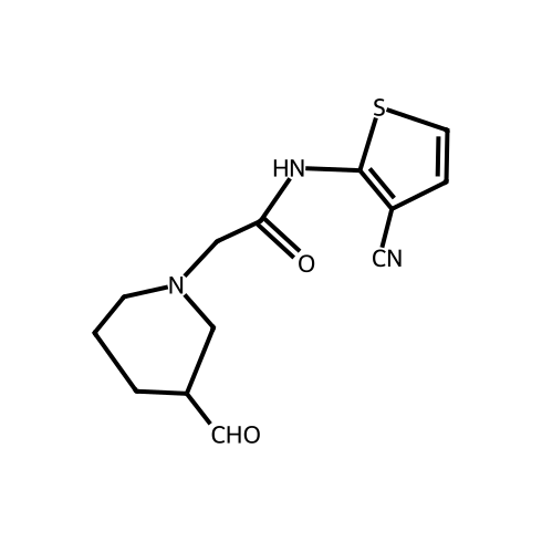 N#Cc1ccsc1NC(=O)CN1CCCC(C=O)C1